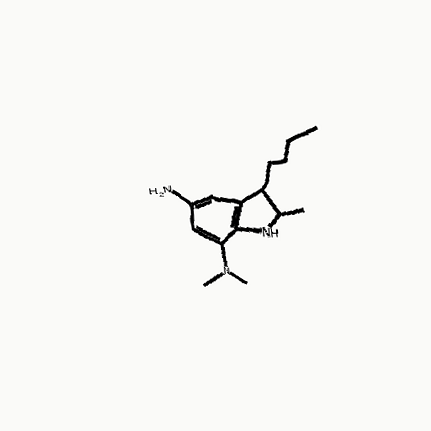 CCCCC1c2cc(N)cc(N(C)C)c2NC1C